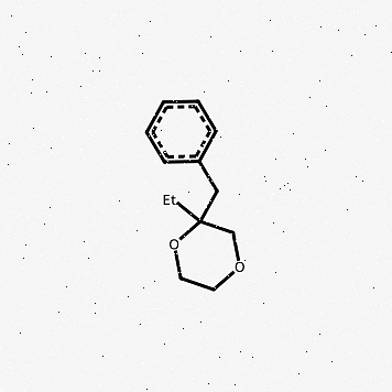 [CH2]CC1(Cc2ccccc2)COCCO1